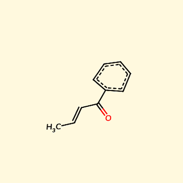 CC=CC(=O)c1ccccc1